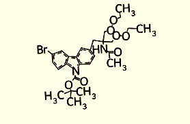 CCOOCC(COOCC)(Cc1ccc2c(c1)c1cc(Br)ccc1n2C(=O)OC(C)(C)C)NC(C)=O